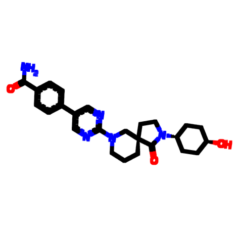 NC(=O)c1ccc(-c2cnc(N3CCC[C@]4(CCN([C@H]5CC[C@H](O)CC5)C4=O)C3)nc2)cc1